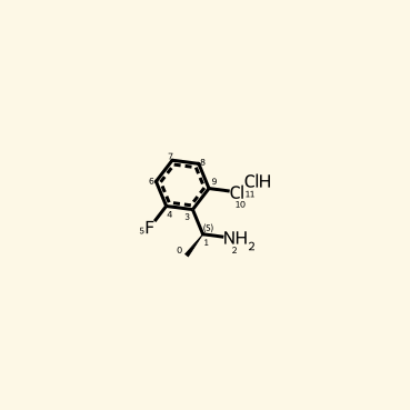 C[C@H](N)c1c(F)cccc1Cl.Cl